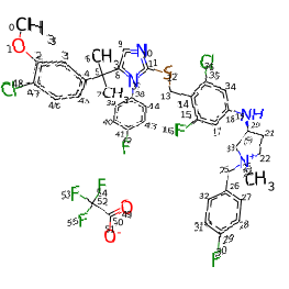 COc1cc(C(C)(C)c2cnc(SCc3c(F)cc(N[C@H]4CC[N+](C)(Cc5ccc(F)cc5)C4)cc3Cl)n2-c2ccc(F)cc2)ccc1Cl.O=C([O-])C(F)(F)F